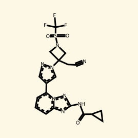 N#CCC1(n2cc(-c3cccc4nc(NC(=O)C5CC5)nn34)cn2)CN(S(=O)(=O)C(F)(F)F)C1